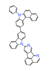 c1ccc(-n2c3ccc(-c4ccc5c(c4)c4ccccc4n5-c4cc5c(cn4)-c4nccc6cccc-5c46)cc3c3c4ccccc4ccc32)cc1